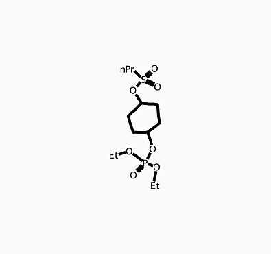 CCCS(=O)(=O)OC1CCC(OP(=O)(OCC)OCC)CC1